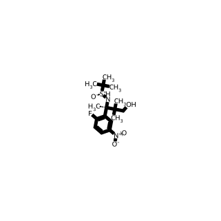 CC(C)(C)[S@@+]([O-])N[C@](C)(c1cc([N+](=O)[O-])ccc1F)C(C)(C)CO